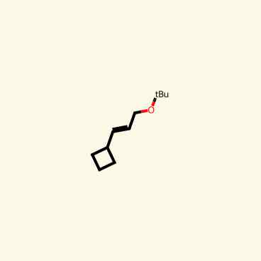 CC(C)(C)OC/C=C/C1CCC1